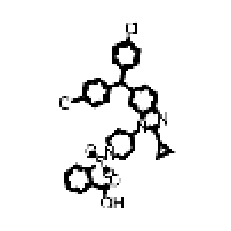 O=C(O)c1ccccc1S(=O)(=O)N1CCC(n2c(C3CC3)nc3ccc(C(c4ccc(Cl)cc4)c4ccc(Cl)cc4)cc32)CC1